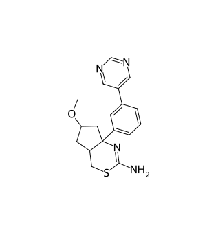 COC1CC2CSC(N)=NC2(c2cccc(-c3cncnc3)c2)C1